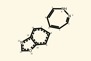 C1=CC=NNC=C1.c1ccc2ocnc2c1